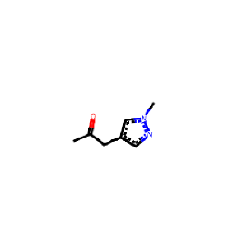 CC(=O)Cc1cnn(C)c1